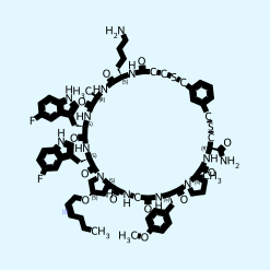 CCC/C=C\CO[C@H]1C[C@H]2C(=O)NCC(=O)N[C@@H](Cc3ccc(OC)cc3)C(=O)N3CCC[C@@]3(C)C(=O)N[C@H](C(N)=O)CSCc3cccc(c3)CSCCC(=O)N[C@@H](CCCCN)C(=O)N[C@H](C)C(=O)N[C@@H](Cc3c[nH]c4ccc(F)cc34)C(=O)N[C@@H](Cc3c[nH]c4ccc(F)cc34)C(=O)N2C1